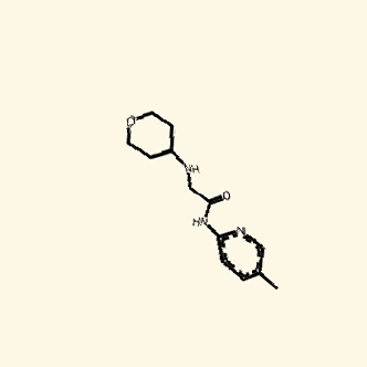 Cc1ccc(NC(=O)CNC2CCOCC2)nc1